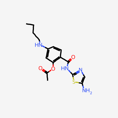 CCCCNc1ccc(C(=O)Nc2ncc(N)s2)c(OC(C)=O)c1